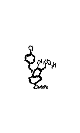 COc1ccc2c(c1)c(CC(=O)O)c(C)n2Cc1ccc(Cl)cc1